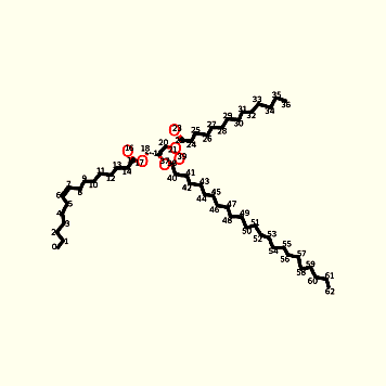 CCCCCC/C=C\CCCCCCCC(=O)OC[C@H](COC(=O)CCCCCCCCCCCCC)OC(=O)CCCCCCCCCCCCCCCCCCCCCCC